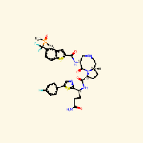 CP(C)(=O)C(F)(F)c1ccc2sc(C(=O)N[C@H]3CNCC[C@H]4CC[C@@H](C(=O)N[C@@H](CCC(N)=O)c5ncc(-c6ccc(F)cc6)s5)N4C3=O)cc2c1